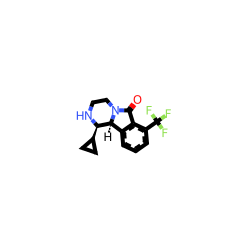 O=C1c2c(cccc2C(F)(F)F)[C@H]2[C@@H](C3CC3)NCCN12